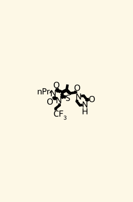 CCCn1c(=O)c2c(C)c(C(=O)N3CCNC(=O)C3)sc2n(CCC(F)(F)F)c1=O